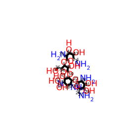 NC[C@@H]1O[C@H](O[C@H]2[C@@H](O)[C@H](O[C@@H]3[C@@H](O)[C@H](N(O)O)C[C@H](N)[C@H]3O[C@H]3O[C@H](CN)[C@@H](O)[C@H](O)[C@H]3N)O[C@@H]2CO)[C@H](N)[C@@H](O)[C@@H]1O